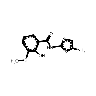 COc1cccc(C(=O)Nc2ncc(N)s2)c1O